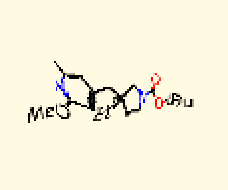 CC[C@]1(Cc2cc(C)nc(OC)c2)CCN(C(=O)OC(C)(C)C)C1